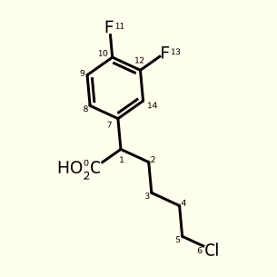 O=C(O)C(CCCCCl)c1ccc(F)c(F)c1